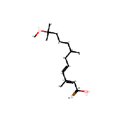 COC(C)(C)CCCC(C)CC=CC(C)=CC(O)=S